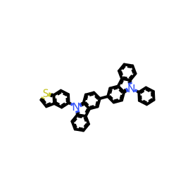 c1ccc(-n2c3ccccc3c3cc(-c4ccc5c(c4)c4ccccc4n5-c4ccc5sccc5c4)ccc32)cc1